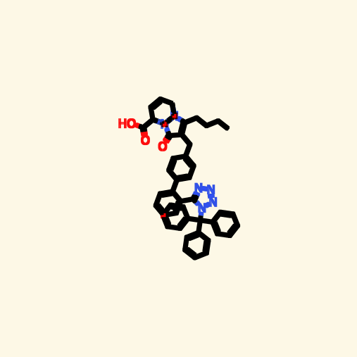 CCCCc1c(Cc2ccc(-c3ccccc3-c3nnnn3C(c3ccccc3)(c3ccccc3)c3ccccc3)cc2)c(=O)n2n1C1C=CC2(C(=O)O)CC1